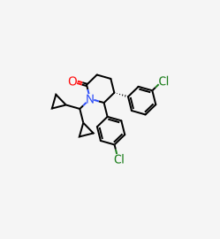 O=C1CC[C@H](c2cccc(Cl)c2)C(c2ccc(Cl)cc2)N1C(C1CC1)C1CC1